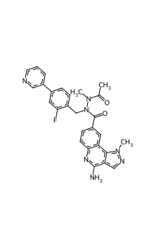 CC(=O)N(C)N(Cc1ccc(-c2cccnc2)cc1F)C(=O)c1ccc2nc(N)c3cnn(C)c3c2c1